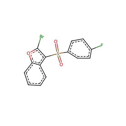 O=S(=O)(c1ccc(F)cc1)c1c(Br)oc2ccccc12